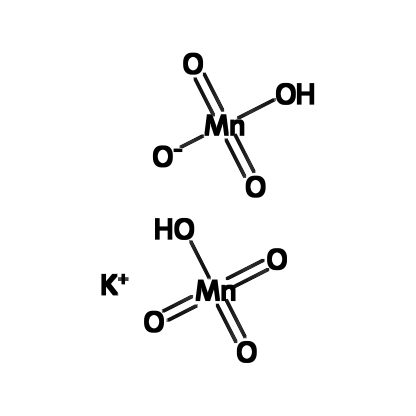 [K+].[O]=[Mn](=[O])(=[O])[OH].[O]=[Mn](=[O])([O-])[OH]